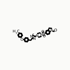 Cc1ccc(Oc2ccc(Cc3nsc(N4CCN(S(=O)(=O)c5ccc6c(c5)CCN6C=O)CC4)n3)cc2)cc1